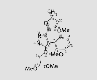 COc1cccc(OC)c1-n1c(OCC(OC)OC)nnc1-c1ccc(C)o1